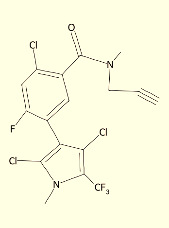 C#CCN(C)C(=O)c1cc(-c2c(Cl)c(C(F)(F)F)n(C)c2Cl)c(F)cc1Cl